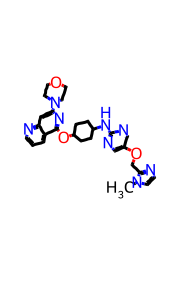 Cn1ccnc1COc1cnc(NC2CCC(Oc3nc(N4CCOCC4)cc4ncccc34)CC2)nc1